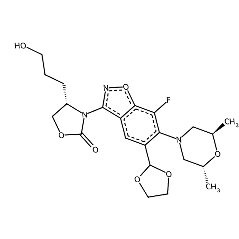 C[C@@H]1CN(c2c(C3OCCO3)cc3c(N4C(=O)OC[C@@H]4CCCO)noc3c2F)C[C@@H](C)O1